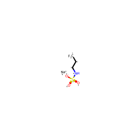 O=S(=O)([O-])NCCC(F)(F)F.[Na+]